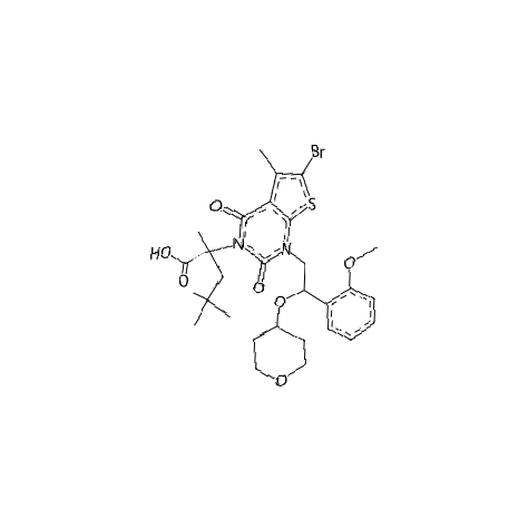 COc1ccccc1C(Cn1c(=O)n(C(C)(CC(C)(C)C)C(=O)O)c(=O)c2c(C)c(Br)sc21)OC1CCOCC1